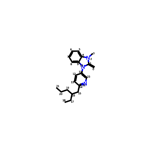 C=C1N(C)c2ccccc2N1c1ccc(CC(CC)CCC)nc1